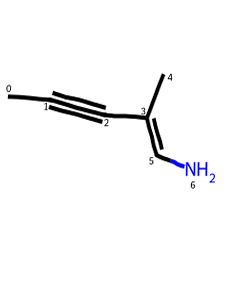 CC#C/C(C)=C/N